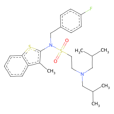 Cc1c(N(Cc2ccc(F)cc2)S(=O)(=O)CCN(CC(C)C)CC(C)C)sc2ccccc12